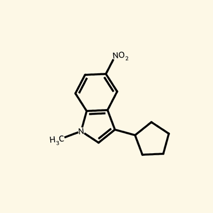 Cn1cc(C2CCCC2)c2cc([N+](=O)[O-])ccc21